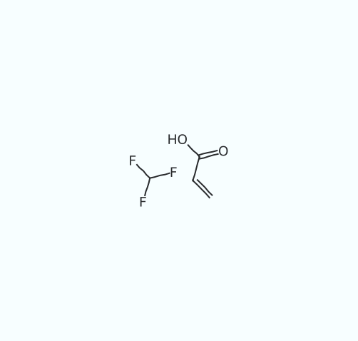 C=CC(=O)O.FC(F)F